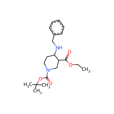 CCOC(=O)C1CN(C(=O)OC(C)(C)C)CCC1NCc1ccccc1